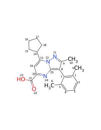 Cc1cccc(C)c1-c1c(C)nn2c(C3CCCC3)cc(C(=O)O)nc12